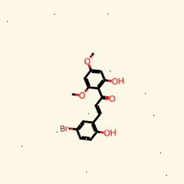 COc1cc(O)c(C(=O)C=Cc2cc(Br)ccc2O)c(OC)c1